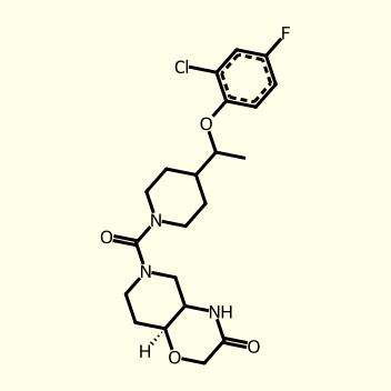 CC(Oc1ccc(F)cc1Cl)C1CCN(C(=O)N2CC[C@@H]3OCC(=O)NC3C2)CC1